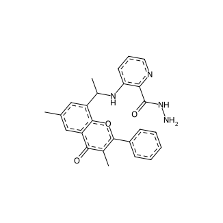 Cc1cc(C(C)Nc2cccnc2C(=O)NN)c2oc(-c3ccccc3)c(C)c(=O)c2c1